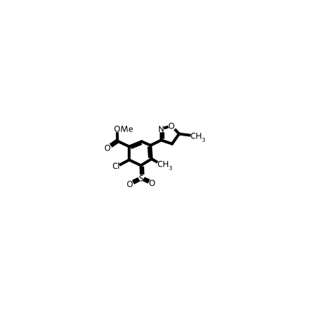 COC(=O)C1=CC(C2=NOC(C)C2)=C(C)C(=S(=O)=O)C1Cl